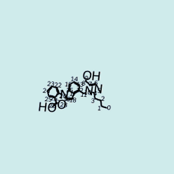 CCCCc1ncc(CO)n1Cc1cccc2c1ccn2-c1ccccc1C(=O)O